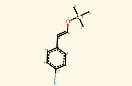 C[Si](C)(C)OC=Cc1ccc(F)cc1